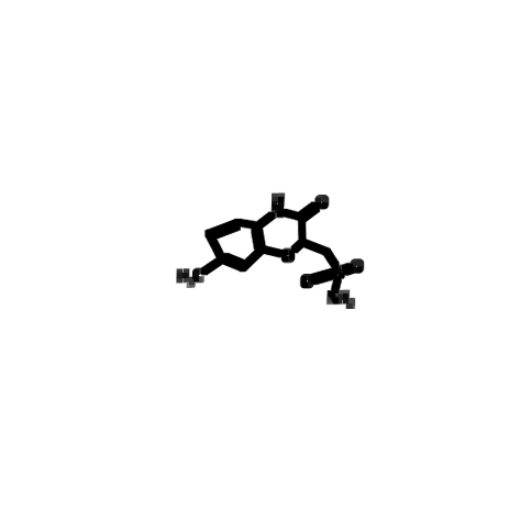 Cc1ccc2c(c1)OC(CS(N)(=O)=O)C(=O)N2